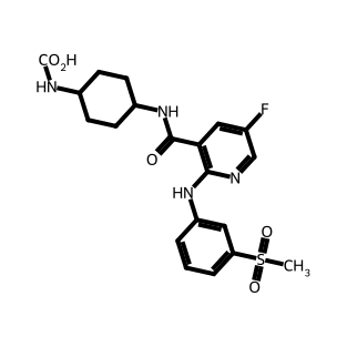 CS(=O)(=O)c1cccc(Nc2ncc(F)cc2C(=O)NC2CCC(NC(=O)O)CC2)c1